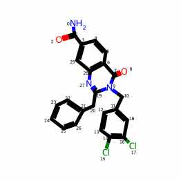 NC(=O)c1ccc2c(=O)n(Cc3ccc(Cl)c(Cl)c3)c(Cc3ccccc3)nc2c1